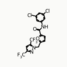 O=C(Nc1cc(Cl)cc(Cl)c1)c1ccc(Cn2nc(C(F)(F)F)cc2C(F)(F)F)o1